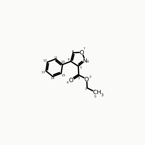 CCOC(=O)c1nocc1-c1ccccc1